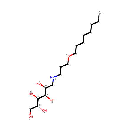 CC(C)CCCCCCCOCCCNC[C@H](O)[C@@H](O)[C@H](O)[C@H](O)CO